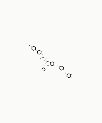 N#Cc1ccc(-c2ccc(C[C@H](NC(=O)[C@@H]3Cc4cc5c(cc4CN3C(=O)c3ccoc3)OC(c3ccc(OCc4ccc(Cl)c(Cl)c4)cc3)CO5)C(=O)O)cc2)cc1